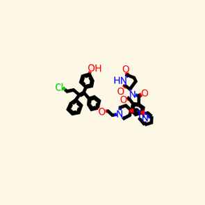 O=C1CCC(N2C(=O)c3ccc(N4C5CC4CN(CC4CCN(CCOc6ccc(C(=C(CCCl)c7ccccc7)c7ccc(O)cc7)cc6)CC4)C5)cc3C2=O)C(=O)N1